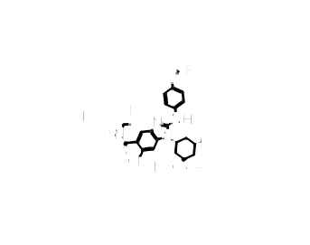 CC(C(=O)O)N(C)C(=O)c1cc2nc(Nc3ccc(OC(F)(F)F)cc3)n([C@H]3C[C@@H](C)CC(C)(C)C3)c2cc1Cl